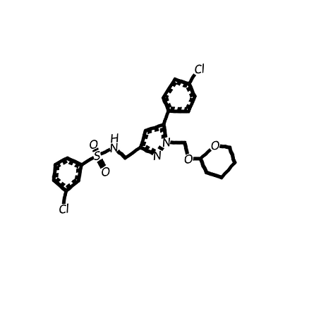 O=S(=O)(NCc1cc(-c2ccc(Cl)cc2)n(COC2CCCCO2)n1)c1cccc(Cl)c1